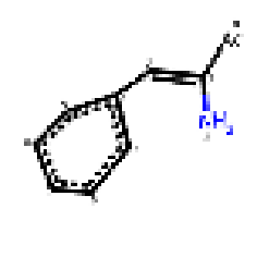 CC(=O)C(N)=Cc1ccccc1